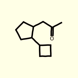 CC(=O)CC1CCCC1C1CCC1